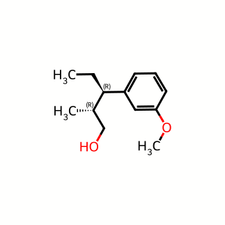 CC[C@@H](c1cccc(OC)c1)[C@@H](C)CO